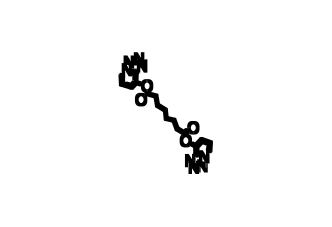 O=C(CCCCCCC(=O)Oc1cccn2nnnc12)Oc1cccn2nnnc12